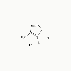 CC1=[C]([Ir])CC=C1.[H-].[H-]